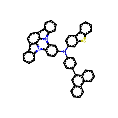 c1ccc2c(c1)cc(-c1ccc(N(c3ccc4c(c3)sc3ccccc34)c3ccc4c(c3)n3c5ccccc5c5ccc6c7ccccc7n4c6c53)cc1)c1ccccc12